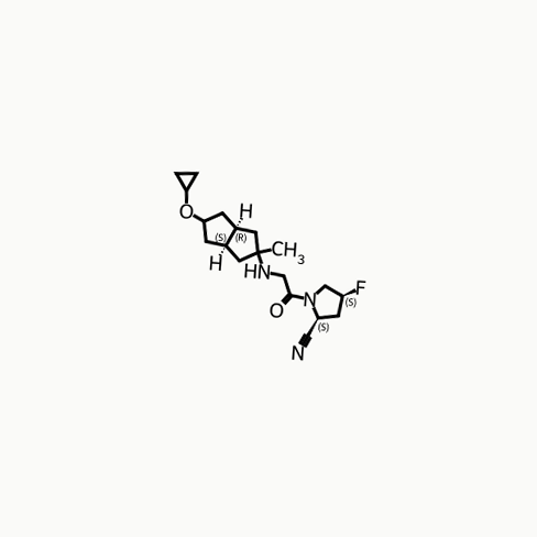 CC1(NCC(=O)N2C[C@@H](F)C[C@H]2C#N)C[C@H]2CC(OC3CC3)C[C@H]2C1